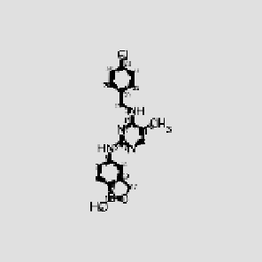 Cc1cnc(Nc2ccc3c(c2)COB3O)nc1NCc1ccc(Cl)cc1